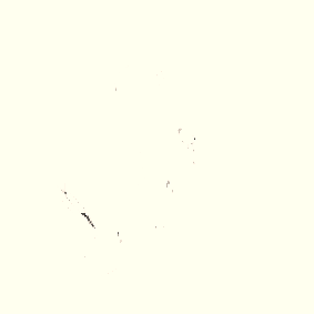 Cc1ccc(C=CC(CC(=O)N2CCC[C@H]2C#N)NC(=O)OC(C)(C)C)cc1